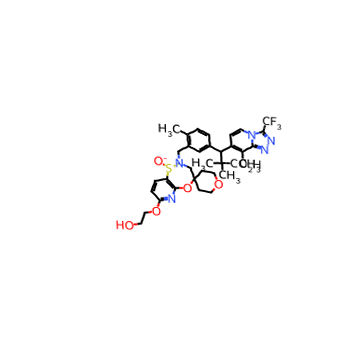 Cc1ccc(C(c2ccn3c(C(F)(F)F)nnc3c2C)C(C)(C)C(=O)O)cc1CN1CC2(CCOCC2)Oc2nc(OCCO)ccc2[S+]1[O-]